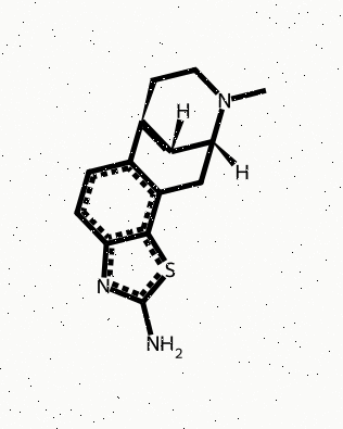 CN1CC[C@]23CCCC[C@H]2[C@H]1Cc1c3ccc2nc(N)sc12